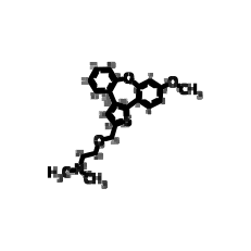 COc1ccc2c(c1)Oc1ccccc1-c1cc(COCCN(C)C)sc1-2